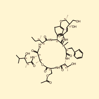 CC[C@H](C)[C@H]1NC(=O)[C@@H](NC(=O)[C@H](C)[C@H](O)C(C)C)[C@@H](C)OC(=O)[C@H](COC(C)=O)NC(=O)[C@@H]([C@@H](C)O)NC(=O)[C@H](Cc2ccccc2)N(C)C(=O)[C@H](C2=CC=C(O[C@H](C)[C@](O)(/C=C/C(=O)NC)CO)CC2)NC1=O